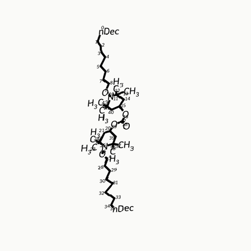 CCCCCCCCCCCCCCCCCCON1C(C)(C)CC(OC(=O)OC2CC(C)(C)N(OCCCCCCCCCCCCCCCCCC)C(C)(C)C2)CC1(C)C